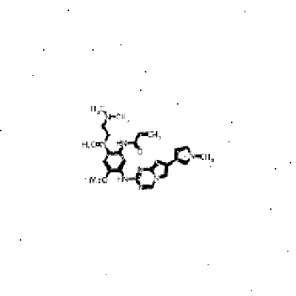 C=CC(=O)Nc1cc(Nc2ncn3cc(-c4ccn(C)c4)cc3n2)c(OC)cc1N(C)CCN(C)C